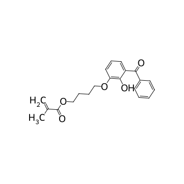 C=C(C)C(=O)OCCCCOc1cccc(C(=O)c2ccccc2)c1O